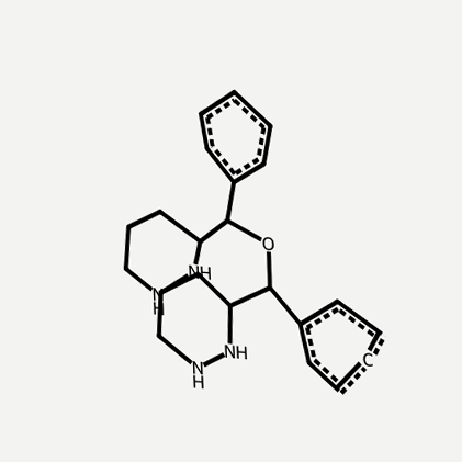 c1ccc(C(OC(c2ccccc2)C2CCCNN2)C2CCCNN2)cc1